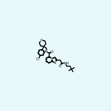 CC(C)(C)CCNC(=O)Cc1cn2c(C(=O)NCC3(c4ccc(Cl)cc4)CCOCC3)cccc2n1